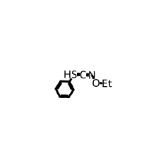 CCON=C=[SH]c1ccccc1